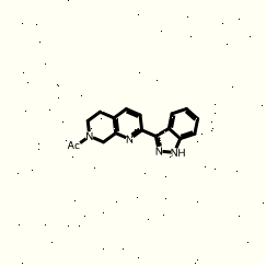 CC(=O)N1CCc2ccc(-c3n[nH]c4ccccc34)nc2C1